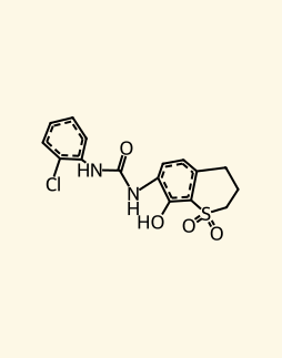 O=C(Nc1ccccc1Cl)Nc1ccc2c(c1O)S(=O)(=O)CCC2